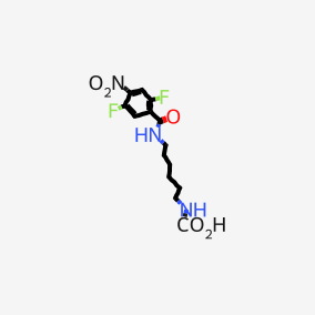 O=C(O)NCCCCCCNC(=O)c1cc(F)c([N+](=O)[O-])cc1F